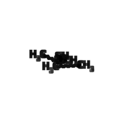 CCCCCCCCC(CC)C(CCC)(CCCCCCCC)C(=O)O[SiH3]